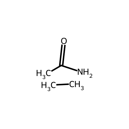 CC.CC(N)=O